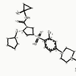 N#CC1(NC(=O)[C@H]2C[C@H](S(=O)(=O)c3ccc(N4CCN(CC(F)(F)F)CC4)cc3C(F)(F)F)C[C@@H]2OC2CCCC2)CC1